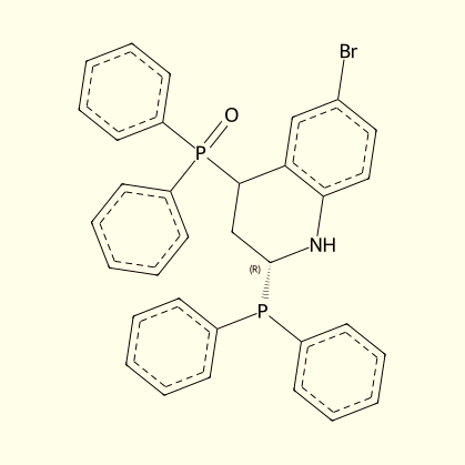 O=P(c1ccccc1)(c1ccccc1)C1C[C@@H](P(c2ccccc2)c2ccccc2)Nc2ccc(Br)cc21